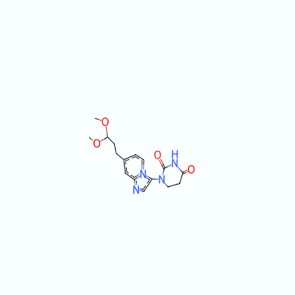 COC(CCc1ccn2c(N3CCC(=O)NC3=O)cnc2c1)OC